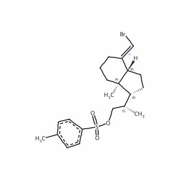 Cc1ccc(S(=O)(=O)OC[C@@H](C)[C@H]2CC[C@H]3/C(=C/Br)CCC[C@]23C)cc1